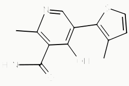 Cc1ccsc1-c1cnc(C)c(C(N)=O)c1O